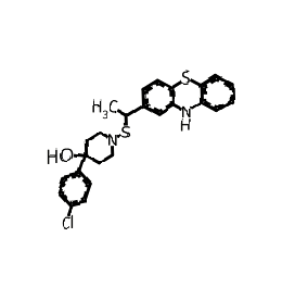 CC(SN1CCC(O)(c2ccc(Cl)cc2)CC1)c1ccc2c(c1)Nc1ccccc1S2